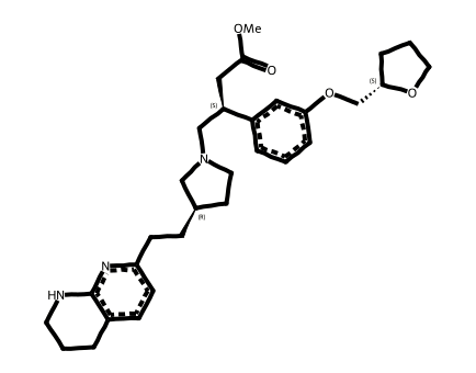 COC(=O)C[C@H](CN1CC[C@@H](CCc2ccc3c(n2)NCCC3)C1)c1cccc(OC[C@@H]2CCCO2)c1